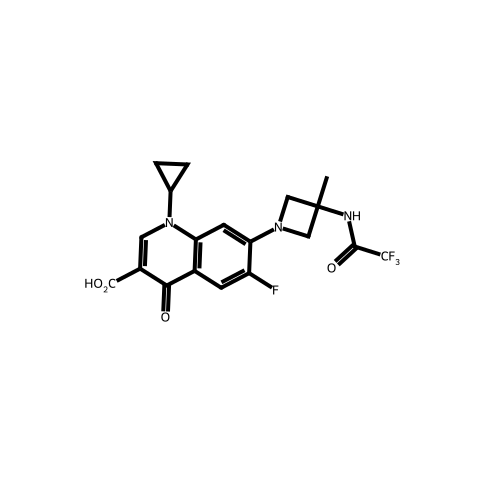 CC1(NC(=O)C(F)(F)F)CN(c2cc3c(cc2F)c(=O)c(C(=O)O)cn3C2CC2)C1